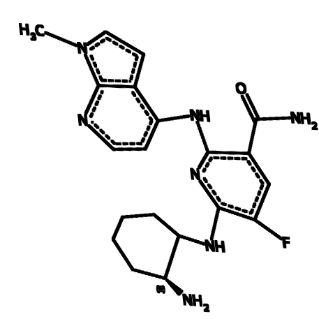 Cn1ccc2c(Nc3nc(NC4CCCC[C@@H]4N)c(F)cc3C(N)=O)ccnc21